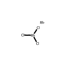 [Cl][Rh]([Cl])[Cl].[Rh]